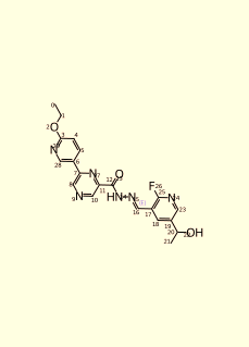 CCOc1ccc(-c2cncc(C(=O)N/N=C/c3cc(C(C)O)cnc3F)n2)cn1